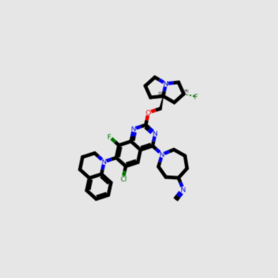 C=NC1CCCN(c2nc(OC[C@@]34CCCN3C[C@H](F)C4)nc3c(F)c(N4CCCc5ccccc54)c(Cl)cc23)CC1